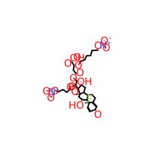 C[C@]12C=CC(=O)C=C1CCC1C3C[C@@H](O)[C@](OC(=O)CCCO[N+](=O)[O-])(C(=O)COC(=O)CC(OC(=O)CCCCCO[N+](=O)[O-])C(=O)O)[C@@]3(C)C[C@H](O)[C@@]12F